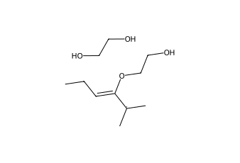 CCC=C(OCCO)[C](C)C.OCCO